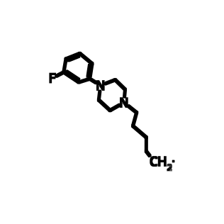 [CH2]CCCCN1CCN(c2cccc(F)c2)CC1